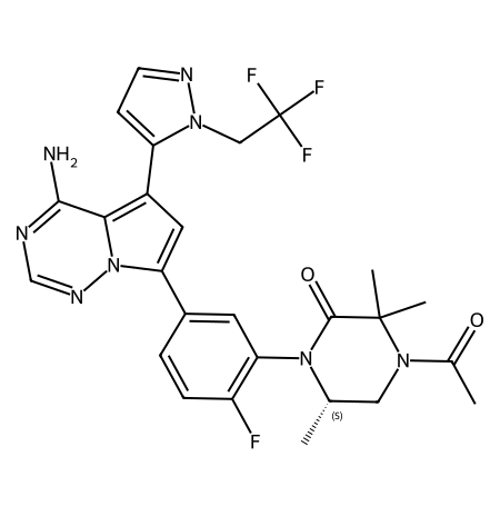 CC(=O)N1C[C@H](C)N(c2cc(-c3cc(-c4ccnn4CC(F)(F)F)c4c(N)ncnn34)ccc2F)C(=O)C1(C)C